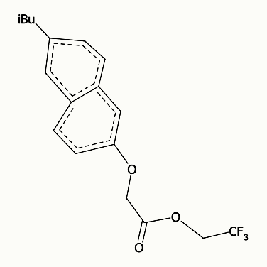 CCC(C)c1ccc2cc(OCC(=O)OCC(F)(F)F)ccc2c1